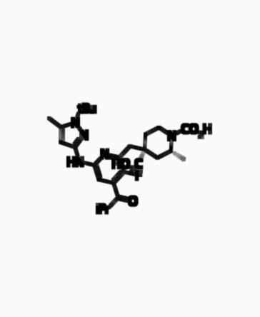 Cc1cc(Nc2cc(C(=O)C(C)C)c(F)c(C[C@@]3(C(=O)O)CCN(C(=O)O)[C@H](C)C3)n2)nn1C(C)(C)C